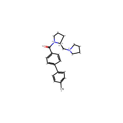 N#Cc1ccc(-c2ccc(C(=O)N3CCC[C@H]3CN3CCCC3)cc2)cc1